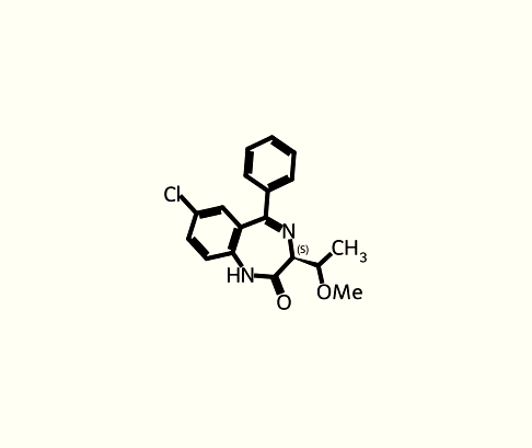 COC(C)[C@@H]1N=C(c2ccccc2)c2cc(Cl)ccc2NC1=O